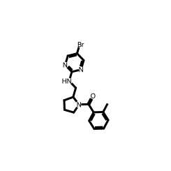 Cc1ccccc1C(=O)N1CCCC1CNc1ncc(Br)cn1